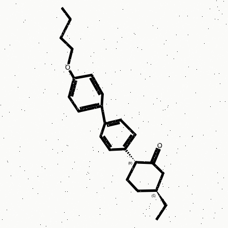 CCCCOc1ccc(-c2ccc([C@H]3CC[C@H](CC)CC3=O)cc2)cc1